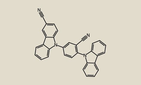 N#Cc1ccc2c(c1)c1ccccc1n2-c1ccc(-n2c3ccccc3c3ccccc32)c(C#N)c1